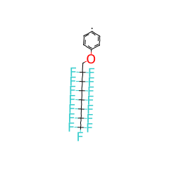 FC(F)(F)C(F)(F)C(F)(F)C(F)(F)C(F)(F)C(F)(F)C(F)(F)COc1cc[c]cc1